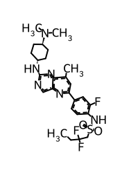 CCC(F)(F)CS(=O)(=O)Nc1ccc(-c2cc(C)c3nc(N[C@H]4CC[C@H](N(C)C)CC4)ncc3n2)cc1F